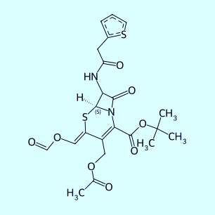 CC(=O)OCC1=C(C(=O)OC(C)(C)C)N2C(=O)C(NC(=O)Cc3cccs3)[C@@H]2SC1=COC=O